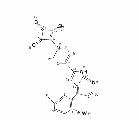 COc1ccc(F)cc1-c1ccnc2[nH]c(C3=CCN(c4c(S)c(=O)c4=O)CC3)cc12